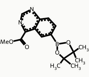 COC(=O)c1ncnc2ccc(B3OC(C)(C)C(C)(C)O3)cc12